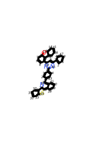 c1ccc(-c2cc(-c3cccc4oc5ccccc5c34)nc(-c3ccc(-c4nc5c6ccccc6sc5c5ccccc45)cc3)n2)cc1